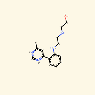 Cc1cc(-c2ccccc2NCCNCCO)ncn1